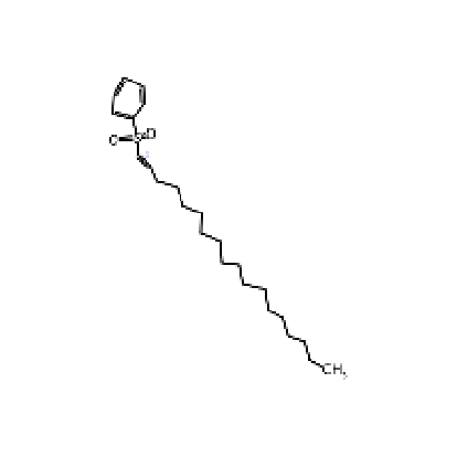 CCCCCCCCCCCCCCCC/C=C/S(=O)(=O)c1ccccc1